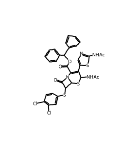 CC(=O)Nc1ncc(C2=C(C(=O)OC(c3ccccc3)c3ccccc3)N3C(=O)C(Sc4ccc(Cl)c(Cl)c4)C3SC2NC(C)=O)s1